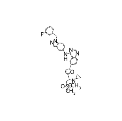 CN(C1CC1)C(CS(C)(=O)=O)c1ccc(-c2ccc3ncnc(Nc4ccc5c(cnn5Cc5cccc(F)c5)c4)c3c2)o1